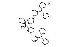 Cl[PH](c1ccccc1)(c1ccccc1)c1ccccc1.[Ir].c1ccc(P(c2ccccc2)c2ccccc2)cc1.c1ccc(P(c2ccccc2)c2ccccc2)cc1